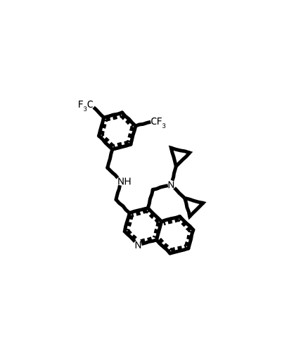 FC(F)(F)c1cc(CNCc2cnc3ccccc3c2CN(C2CC2)C2CC2)cc(C(F)(F)F)c1